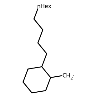 [CH2]C1CCCCC1CCCCCCCCCC